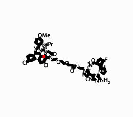 COc1ccc(C2=N[C@@H](c3ccc(Cl)cc3)[C@@H](c3ccc(Cl)cc3)N2C(=O)N2CCN(CCOCCOCCC(=O)NCCn3nc(C#N)c4c3CN(C)C(=O)c3ccc(F)cc3[C@H]3CCCN3c3nc-4cnc3N)C(=O)C2)c(OC(C)C)c1